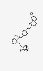 Clc1ccc2ccc(C=Cc3ccc(CN4CCc5cccc(CCc6nnn[nH]6)c54)cc3)nc2c1